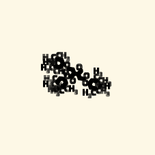 CC1(C)CC(OC(=O)CC(C=O)C(CC(=O)OC2CC(C)(C)N(S)C(C)(C)C2)C(=O)OC2CC(C)(C)N(O)C(C)(C)C2)CC(C)(C)N1O